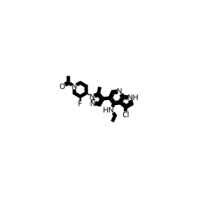 CCNc1c(-c2cnn([C@H]3CCN(C(C)=O)C[C@@H]3F)c2C)cnc2[nH]cc(Cl)c12